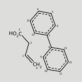 C=CCC(=O)O.c1ccc(-c2ccccc2)cc1